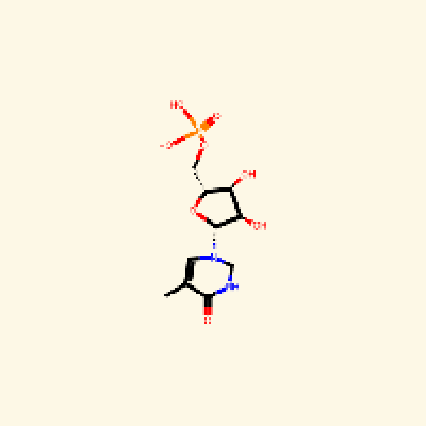 CC1=CN([C@@H]2O[C@H](COP(=O)(O)O)[C@@H](O)[C@H]2O)CNC1=O